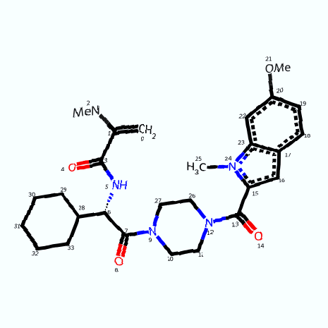 C=C(NC)C(=O)N[C@H](C(=O)N1CCN(C(=O)c2cc3ccc(OC)cc3n2C)CC1)C1CCCCC1